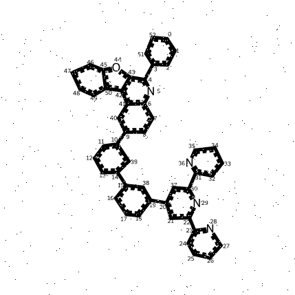 c1ccc(-c2nc3ccc(-c4cccc(-c5cccc(-c6cc(-c7ccccn7)nc(-c7ccccn7)c6)c5)c4)cc3c3c2oc2ccccc23)cc1